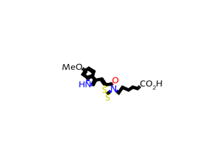 COc1ccc2c(/C=C3\SC(=S)N(CCCCCC(=O)O)C3=O)c[nH]c2c1